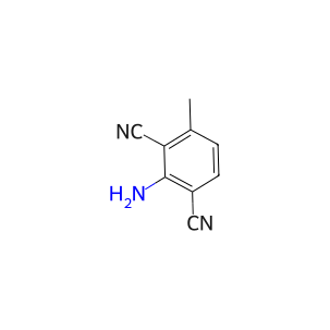 Cc1ccc(C#N)c(N)c1C#N